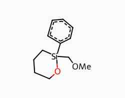 COC[Si]1(c2ccccc2)CCCCO1